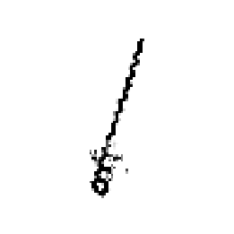 CCCCCCCCCCCCCCCCCCNC[C@H](O)[C@@H](C=O)C(=Cc1ccccc1)C(N)=O